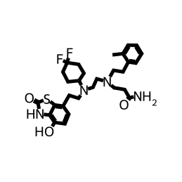 Cc1ccccc1CCN(CCC(N)=O)CCN(CCc1ccc(O)c2[nH]c(=O)sc12)C1CCC(F)(F)CC1